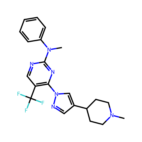 CN1CCC(c2cnn(-c3nc(N(C)c4ccccc4)ncc3C(F)(F)F)c2)CC1